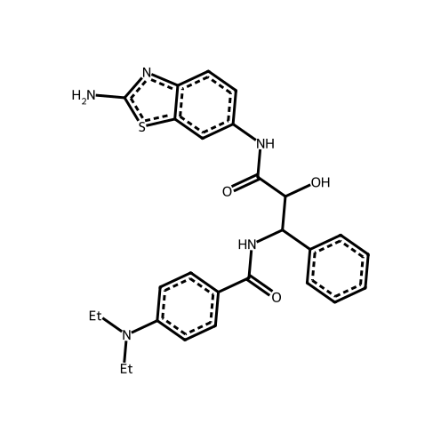 CCN(CC)c1ccc(C(=O)NC(c2ccccc2)C(O)C(=O)Nc2ccc3nc(N)sc3c2)cc1